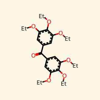 CCOc1cc(C(=O)c2cc(OCC)c(OCC)c(OCC)c2)cc(OCC)c1OCC